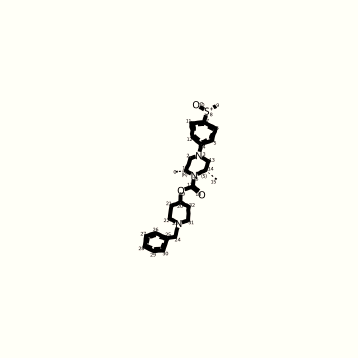 C[C@@H]1CN(c2ccc([S+](C)[O-])cc2)C[C@H](C)N1C(=O)OC1CCN(Cc2ccccc2)CC1